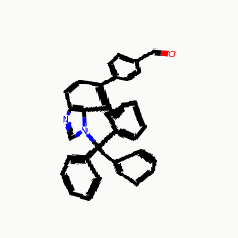 O=Cc1ccc(-c2ccc3ncn(C(c4ccccc4)(c4ccccc4)c4ccccc4)c3c2)cc1